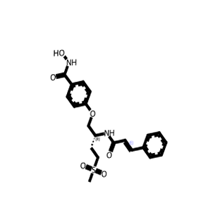 CS(=O)(=O)CC[C@H](COc1ccc(C(=O)NO)cc1)NC(=O)/C=C/c1ccccc1